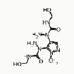 Cn1ncc(N(N)C(=O)NCO)c1N(N)C(=O)NCO